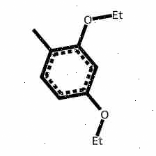 CCOc1ccc(C)c(OCC)c1